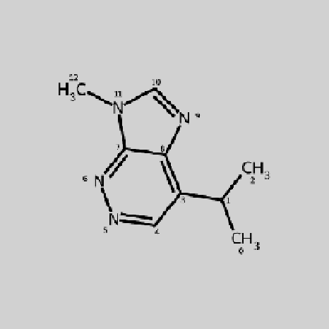 CC(C)c1cnnc2c1ncn2C